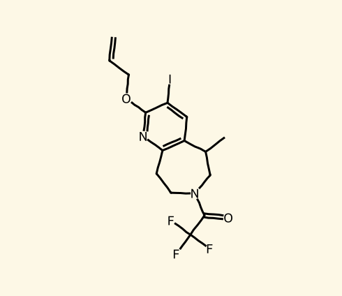 C=CCOc1nc2c(cc1I)C(C)CN(C(=O)C(F)(F)F)CC2